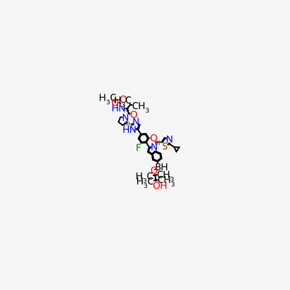 COC(=O)N[C@H](C(=O)N1CCC[C@H]1c1ncc(-c2cc(F)c3c(c2)O[C@@H](c2cnc(C4CC4)s2)n2c-3cc3cc(BOC(C)(C)C(C)(C)O)ccc32)[nH]1)C(C)C